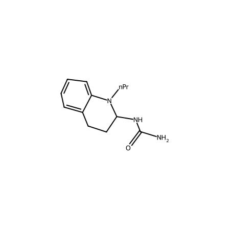 CCCN1c2ccccc2CCC1NC(N)=O